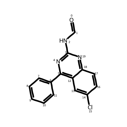 O=CNc1nc(-c2ccccc2)c2cc(Cl)ccc2n1